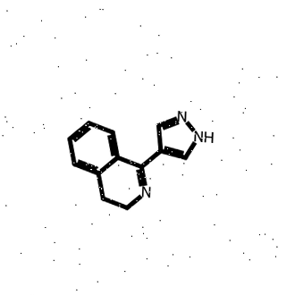 c1ccc2c(c1)CCN=C2c1cn[nH]c1